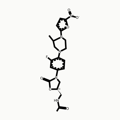 CC(=O)NC[C@H]1CN(c2ccc(N3CCN(c4ccc([N+](=O)[O-])o4)C(C)C3)c(F)c2)C(=O)O1